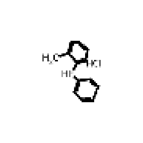 Cc1ccccc1Pc1ccccc1.Cl